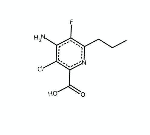 CCCc1nc(C(=O)O)c(Cl)c(N)c1F